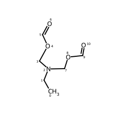 CCN(COC=O)COC=O